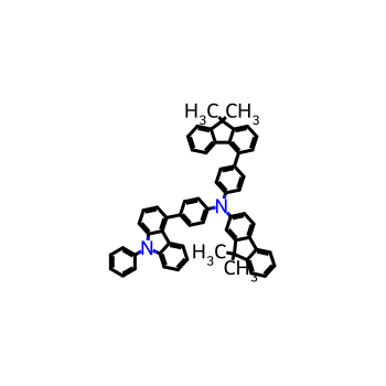 CC1(C)c2ccccc2-c2ccc(N(c3ccc(-c4cccc5c4-c4ccccc4C5(C)C)cc3)c3ccc(-c4cccc5c4c4ccccc4n5-c4ccccc4)cc3)cc21